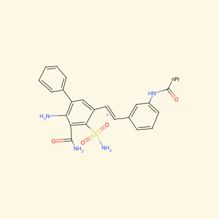 CCCC(=O)Nc1cccc(/C=C/c2cc(-c3ccccc3)c(N)c(C(N)=O)c2S(N)(=O)=O)c1